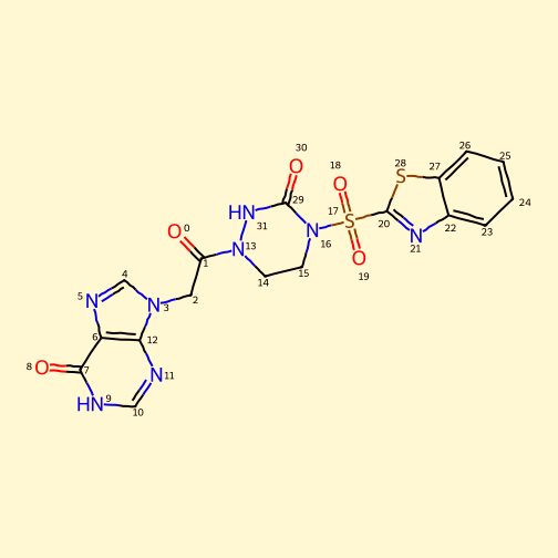 O=C(Cn1cnc2c(=O)[nH]cnc21)N1CCN(S(=O)(=O)c2nc3ccccc3s2)C(=O)N1